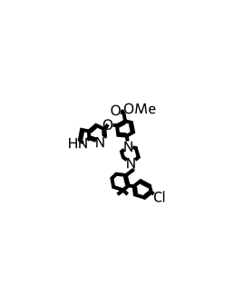 COC(=O)c1ccc(N2CCN(CC3=C(c4ccc(Cl)cc4)C(C)(C)CCC3)CC2)cc1Oc1cnc2[nH]ccc2c1